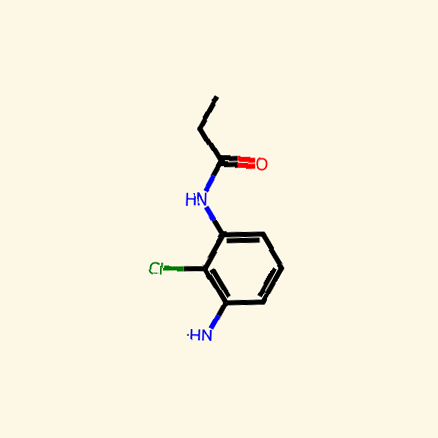 CCC(=O)Nc1cccc([NH])c1Cl